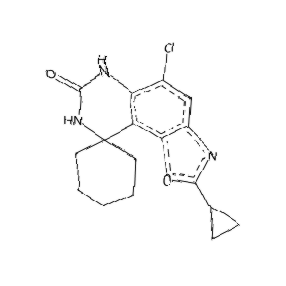 O=C1Nc2c(Cl)cc3nc(C4CC4)oc3c2C2(CCCCC2)N1